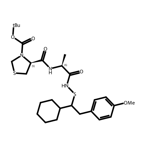 COc1ccc(CC(SNC(=O)[C@H](C)NC(=O)[C@H]2CSCN2C(=O)OC(C)(C)C)C2CCCCC2)cc1